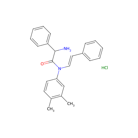 Cc1ccc(N(C=Cc2ccccc2)C(=O)C(N)c2ccccc2)cc1C.Cl